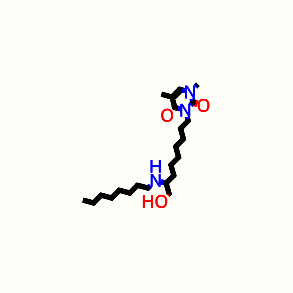 CCCCCCCCNC(CO)CCCCCCCn1c(=O)c(C)cn(C)c1=O